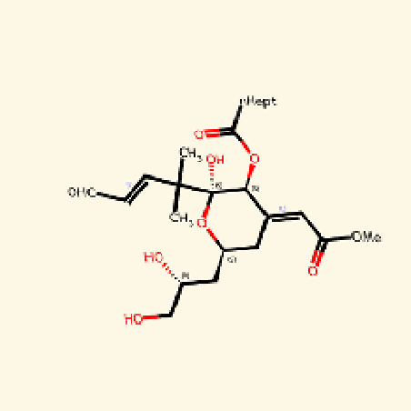 CCCCCCCC(=O)O[C@H]1/C(=C/C(=O)OC)C[C@@H](C[C@@H](O)CO)O[C@@]1(O)C(C)(C)/C=C/C=O